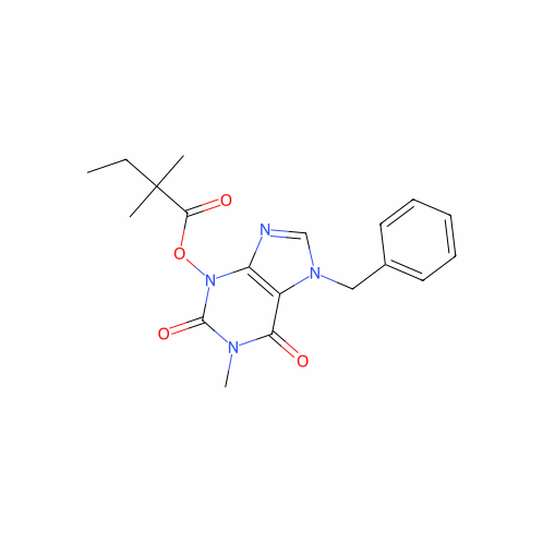 CCC(C)(C)C(=O)On1c(=O)n(C)c(=O)c2c1ncn2Cc1ccccc1